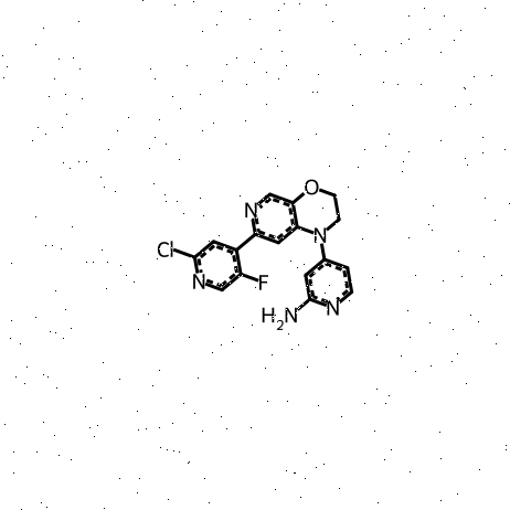 Nc1cc(N2CCOc3cnc(-c4cc(Cl)ncc4F)cc32)ccn1